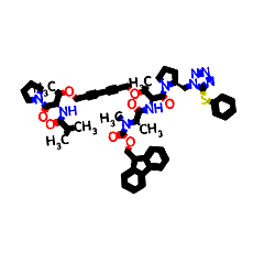 CC(C)C(=O)N[C@H](C(=O)N1CCCC1)C(C)OCC#CC#CCOC(C)[C@H](NC(=O)[C@H](C)N(C)C(=O)OCC1c2ccccc2-c2ccccc21)C(=O)N1CCC[C@H]1Cn1nnnc1Sc1ccccc1